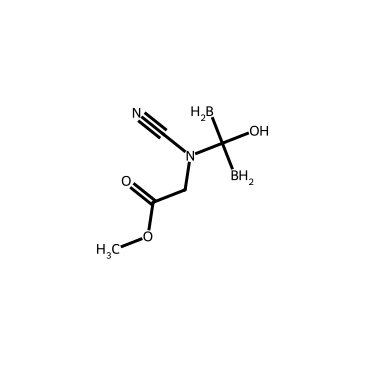 BC(B)(O)N(C#N)CC(=O)OC